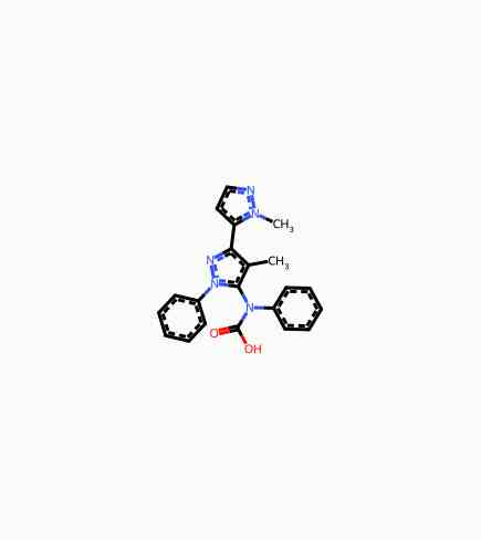 Cc1c(-c2ccnn2C)nn(-c2ccccc2)c1N(C(=O)O)c1ccccc1